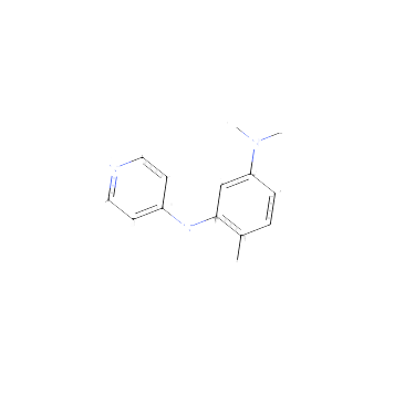 CCN(C)c1ccc(C)c(Nc2ccncc2)c1